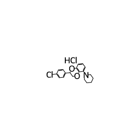 Cl.Clc1ccc(C2COc3c(cccc3N3CCCCC3)O2)cc1